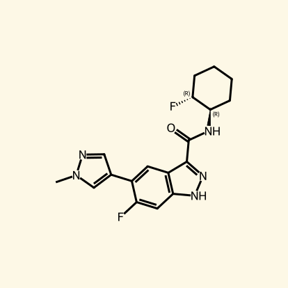 Cn1cc(-c2cc3c(C(=O)N[C@@H]4CCCC[C@H]4F)n[nH]c3cc2F)cn1